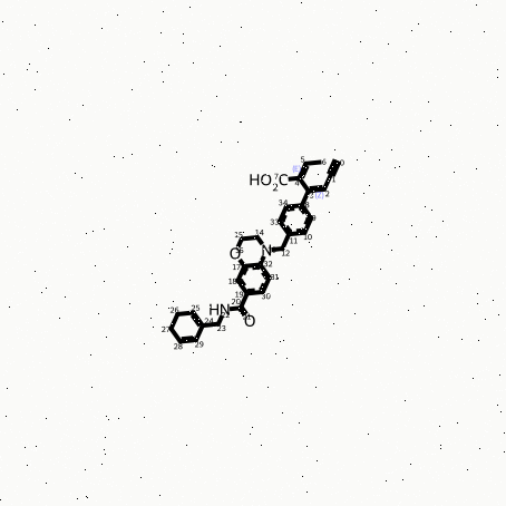 C#C/C=C(\C(=C/C)C(=O)O)c1ccc(CN2CCOc3cc(C(=O)NCC4=CCCC=C4)ccc32)cc1